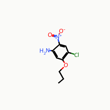 CCCOc1cc(N)c([N+](=O)[O-])cc1Cl